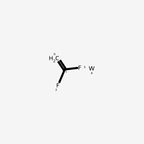 C=C(F)F.[W]